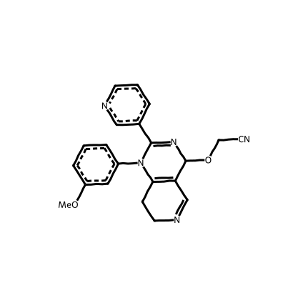 COc1cccc(N2C(c3cccnc3)=NC(OCC#N)C3=C2CCN=C3)c1